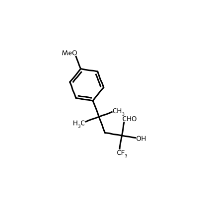 COc1ccc(C(C)(C)CC(O)(C=O)C(F)(F)F)cc1